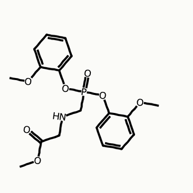 COC(=O)CNCP(=O)(Oc1ccccc1OC)Oc1ccccc1OC